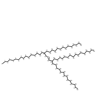 CCCCCCCCCCCCCCCCC(CCCCCCCCCCCCCC)COCC(CCCCCCCCCCCCCC)CCCCCCCCCCCCCCCC